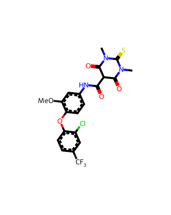 COc1cc(NC(=O)C2C(=O)N(C)C(=S)N(C)C2=O)ccc1Oc1ccc(C(F)(F)F)cc1Cl